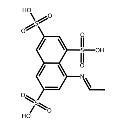 CC=Nc1cc(S(=O)(=O)O)cc2cc(S(=O)(=O)O)cc(S(=O)(=O)O)c12